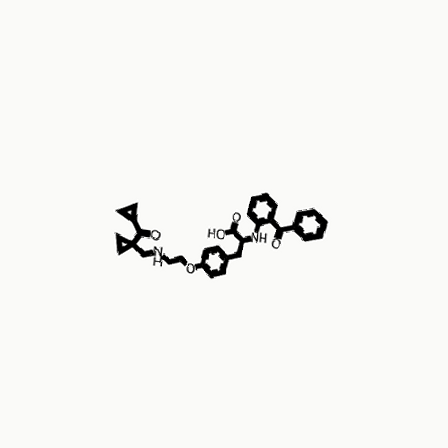 O=C(c1ccccc1)c1ccccc1NC(Cc1ccc(OCCNCC2(C(=O)C3CC3)CC2)cc1)C(=O)O